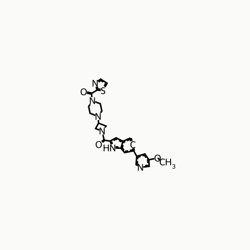 COc1cncc(-c2ccc3cc(C(=O)N4CC(N5CCN(C(=O)c6nccs6)CC5)C4)[nH]c3c2)c1